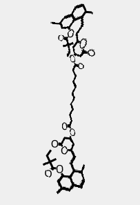 CCC(C)(C)C(=O)OC1CC(C)C=C2C=CC(C)C(CCC3CC(OC(=O)CCCCCCCCCCC(=O)OC4CC(=O)OC(CCC5C(C)C=CC6C=C(C)CC(OC(=O)C(C)(C)CC)C65)C4)CC(=O)O3)C21